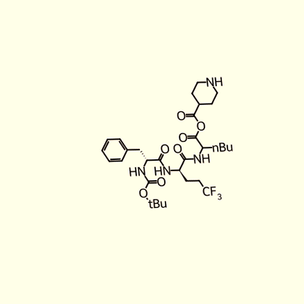 CCCCC(NC(=O)[C@@H](CCC(F)(F)F)NC(=O)[C@@H](Cc1ccccc1)NC(=O)OC(C)(C)C)C(=O)OC(=O)C1CCNCC1